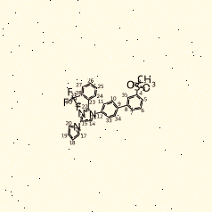 CS(=O)(=O)c1cccc(-c2ccc(-n3cc(-n4cccc4)nc3-c3ccccc3C(F)(F)F)cc2)c1